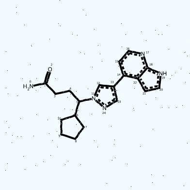 NC(=O)CCC(C1CCCC1)n1cc(-c2ccnc3[nH]ccc23)cn1